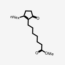 CCCCCCC1=C(CCCCCCC(=O)OC)C(=O)CC1